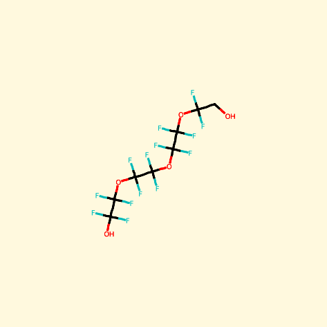 OCC(F)(F)OC(F)(F)C(F)(F)OC(F)(F)C(F)(F)OC(F)(F)C(O)(F)F